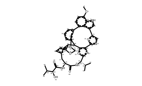 COc1ccc2c3c(c[nH]c13)-c1cnc(o1)-c1nc3oc1[C@]14c5cc(ccc5OC1Nc1c-2cccc14)C[C@H](NC(=O)[C@@H](O)C(C)C)C(=O)N[C@H]3C(C)C